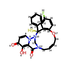 O=C1c2c(O)c(=O)ccn2N2CN1C/C=C\COc1ccc(F)cc1[C@@]2(S)c1ccccc1